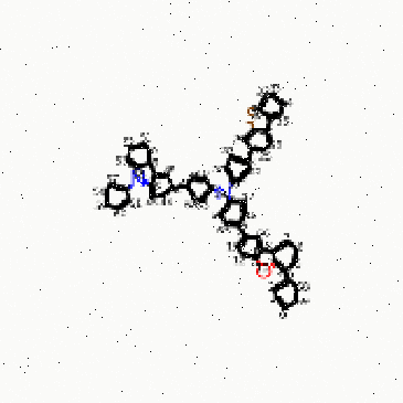 c1ccc(-c2cccc3c2oc2ccc(-c4ccc(N(c5ccc(-c6ccc7c(c6)sc6ccccc67)cc5)c5ccc(-c6ccc7c(c6)c6ccccc6n7-c6ccccc6)cc5)cc4)cc23)cc1